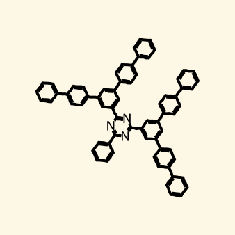 c1ccc(-c2ccc(-c3cc(-c4ccc(-c5ccccc5)cc4)cc(-c4nc(-c5ccccc5)nc(-c5cc(-c6ccc(-c7ccccc7)cc6)cc(-c6ccc(-c7ccccc7)cc6)c5)n4)c3)cc2)cc1